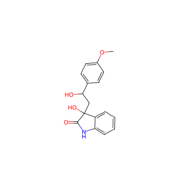 COc1ccc(C(O)CC2(O)C(=O)Nc3ccccc32)cc1